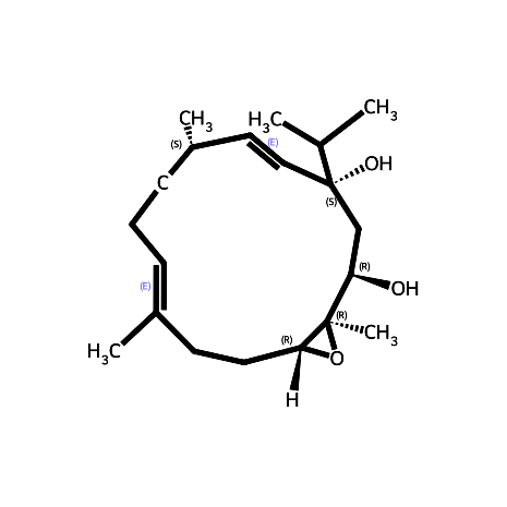 C/C1=C\CC[C@H](C)/C=C/[C@@](O)(C(C)C)C[C@@H](O)[C@@]2(C)O[C@@H]2CC1